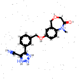 CN1C(=O)COCc2cc(OCc3cccc(-c4nn[nH]c4C#N)c3)ccc21